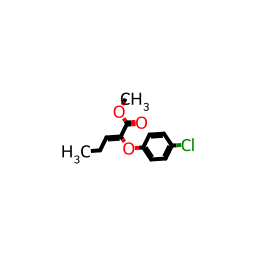 CC/C=C(\Oc1ccc(Cl)cc1)C(=O)OC